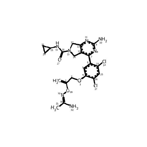 C=C(COc1cc(-c2nc(N)nc3c2CN(C(=O)NC2CC2)C3)c(Cl)cc1Cl)O/N=C(/C)N